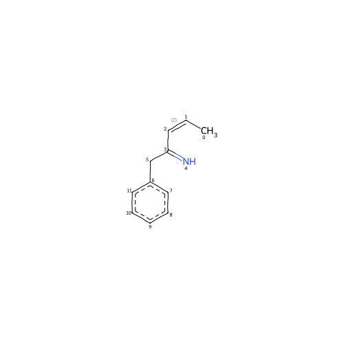 C/C=C\C(=N)Cc1ccccc1